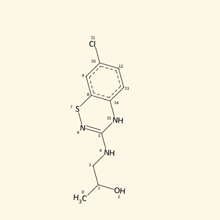 CC(O)CNC1=NSc2cc(Cl)ccc2N1